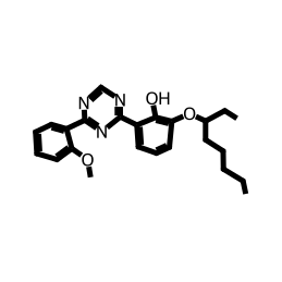 CCCCCC(CC)Oc1cccc(-c2ncnc(-c3ccccc3OC)n2)c1O